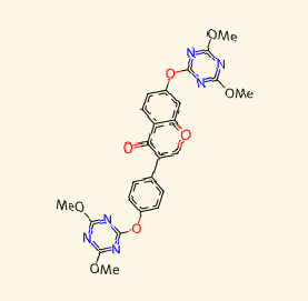 COc1nc(OC)nc(Oc2ccc(-c3coc4cc(Oc5nc(OC)nc(OC)n5)ccc4c3=O)cc2)n1